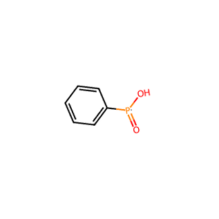 O=[P](O)c1ccccc1